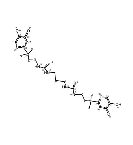 CC(C)(CCNC(=S)NCCCNC(=S)NCCC(C)(C)c1cc(=O)c(O)co1)c1cc(=O)c(O)co1